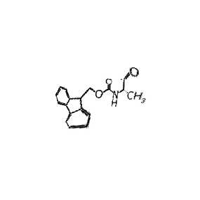 C[C@@H]([C]=O)NC(=O)OCC1c2ccccc2-c2ccccc21